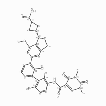 COc1nc(-c2cccc(-c3c(F)ccc(NC(=O)c4cn(C)c(=O)n(C)c4=O)c3C)c2Cl)cc2c1[C@@H](N1CC(C(=O)O)C1)CC2